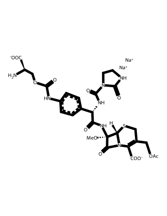 CO[C@@]1(NC(=O)[C@@H](NC(=O)N2CCNC2=O)c2ccc(NC(=O)OC[C@@H](N)C(=O)[O-])cc2)C(=O)N2C(C(=O)[O-])=C(COC(C)=O)CS[C@H]21.[Na+].[Na+]